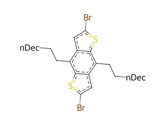 CCCCCCCCCCCCc1c2cc(Br)sc2c(CCCCCCCCCCCC)c2cc(Br)sc12